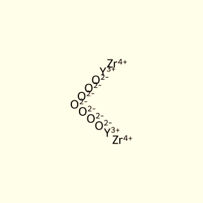 [O-2].[O-2].[O-2].[O-2].[O-2].[O-2].[O-2].[Y+3].[Y+3].[Zr+4].[Zr+4]